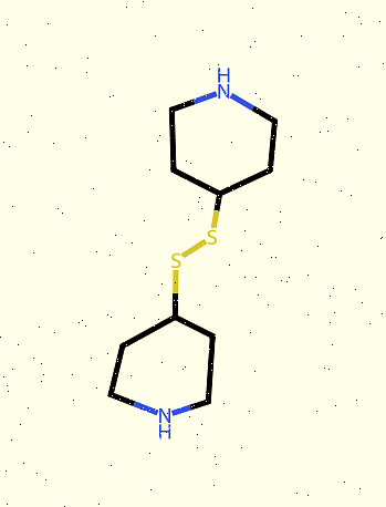 C1CC(SSC2CCNCC2)CCN1